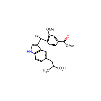 COC(=O)c1ccc(C(c2c[nH]c3ccc(CC(C)C(=O)O)cc23)C(C)C)c(OC)c1